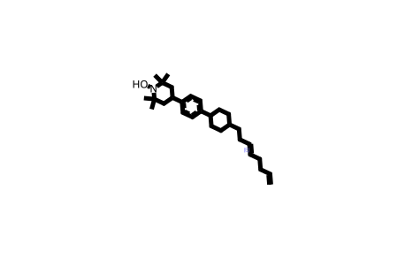 C=CCC/C=C/CCC1CCC(c2ccc(C3CC(C)(C)N(O)C(C)(C)C3)cc2)CC1